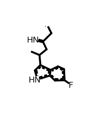 [CH2]CC(=N)CC(C)c1c[nH]c2cc(F)ccc12